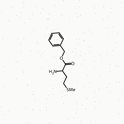 CSCCC(N)C(=O)OCc1ccccc1